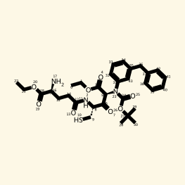 CCOC(=O)[C@H](C(=O)[C@H](CS)NC(=O)CC[C@H](N)C(=O)OCC)N(C(=O)OC(C)(C)C)c1cccc(Cc2ccccc2)c1